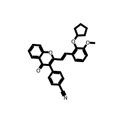 COc1cccc(C=Cc2oc3ccccc3c(=O)c2-c2ccc(C#N)cc2)c1OC1CCCC1